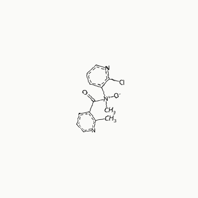 Cc1ncccc1C(=O)[N+](C)([O-])c1cccnc1Cl